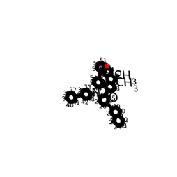 CC1(C)c2ccccc2-c2cc3c(cc21)oc1c(-c2ccc4ccccc4c2)ccc(N(c2ccc(-c4ccccc4)cc2)c2ccc(-c4ccccc4)cc2)c13